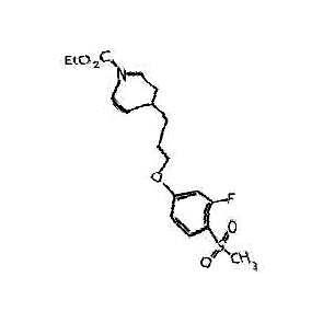 CCOC(=O)N1CCC(CCCOc2ccc(S(C)(=O)=O)c(F)c2)CC1